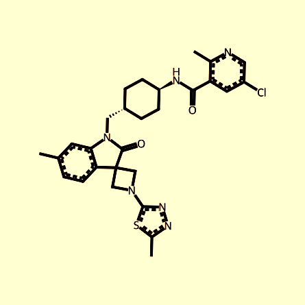 Cc1ccc2c(c1)N(C[C@H]1CC[C@H](NC(=O)c3cc(Cl)cnc3C)CC1)C(=O)C21CN(c2nnc(C)s2)C1